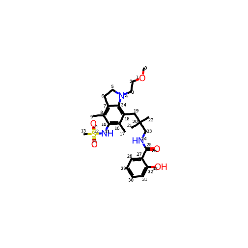 COCCN1CCc2c(C)c(NS(C)(=O)=O)c(C)c(CC(C)(C)CNC(=O)c3ccccc3O)c21